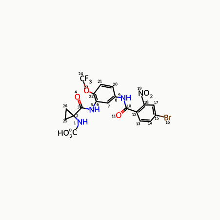 O=C(O)NC1(C(=O)Nc2cc(NC(=O)c3ccc(Br)cc3[N+](=O)[O-])ccc2OC(F)(F)F)CC1